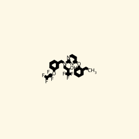 CCc1ccccc1Oc1ccnc(N(Cc2cccc(OC(F)(F)C(F)F)c2)C[C@@H](O)C(F)(F)F)n1